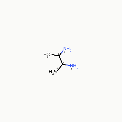 CC(N)C(N)[SiH3]